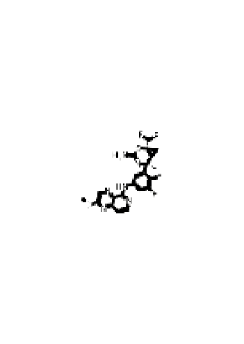 COc1cnc2c(Nc3cc(F)c(F)c([C@@]4(C)N=C(N)S[C@@]5(C(F)F)CC54)c3)nccc2n1